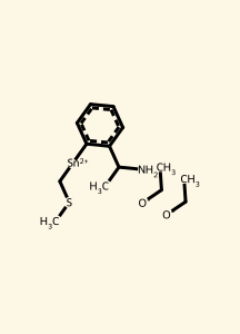 CC[O-].CC[O-].CS[CH2][Sn+2][c]1ccccc1C(C)N